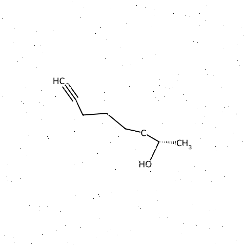 C#CCCCC[C@H](C)O